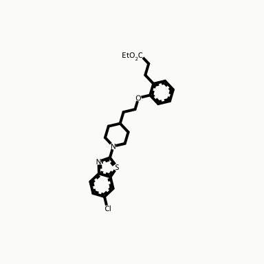 CCOC(=O)CCc1ccccc1OCCC1CCN(c2nc3ccc(Cl)cc3s2)CC1